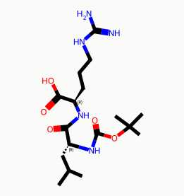 CC(C)C[C@@H](NC(=O)OC(C)(C)C)C(=O)N[C@H](CCCNC(=N)N)C(=O)O